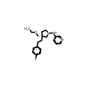 CCOC[C@]1(CCc2ccc(F)cc2)CCN(Nc2cccnc2)C1